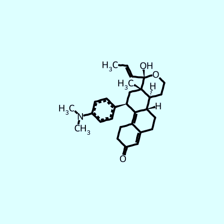 CC=C[C@]1(O)OCC[C@H]2[C@@H]3CCC4=CC(=O)CCC4=C3[C@@H](c3ccc(N(C)C)cc3)C[C@@]21C